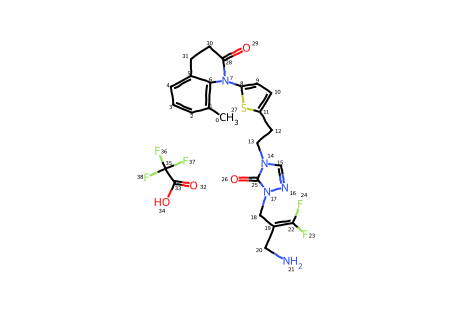 Cc1cccc2c1N(c1ccc(CCn3cnn(CC(CN)=C(F)F)c3=O)s1)C(=O)CC2.O=C(O)C(F)(F)F